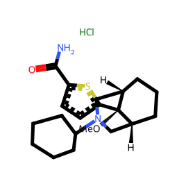 CO[C@]1(c2ccc(C(N)=O)s2)[C@@H]2CCC[C@H]1CN(C1CCCCC1)C2.Cl